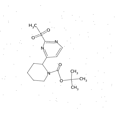 CC(C)(C)OC(=O)N1CCCCC1c1ccnc(S(C)(=O)=O)n1